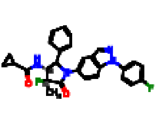 C[C@@]1(F)C(=O)N(c2ccc3c(cnn3-c3ccc(F)cc3)c2)C(c2ccccc2)[C@H]1NC(=O)C1CC1